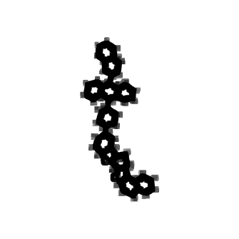 c1ccc2cc(-c3c4ccccc4c(-c4ccc(-c5ccc6oc7c(ccc8c7oc7ccc9ccccc9c78)c6c5)cc4)c4ccccc34)ccc2c1